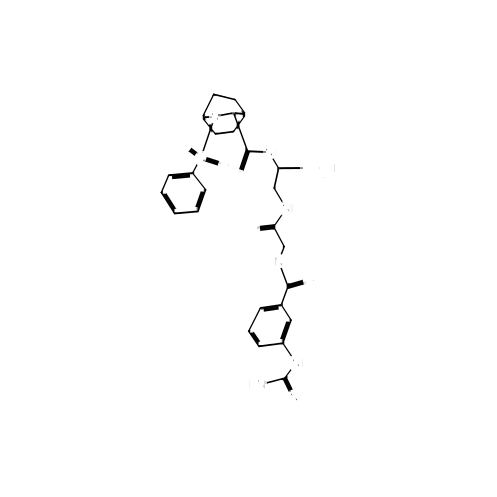 N=C(N)Nc1cccc(C(=O)NCC(=O)NCC(NC(=O)C2C3CCC(CC3)N2S(=O)(=O)c2ccccc2)C(=O)O)c1